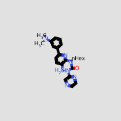 CCCCCCN(C(=O)Nc1cnccn1)c1nc(-c2cccc(N(C)C)c2)ccc1N